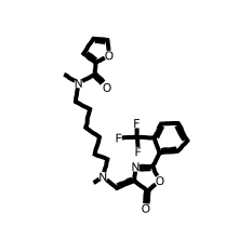 CN(/C=C1\N=C(c2ccccc2C(F)(F)F)OC1=O)CCCCCCN(C)C(=O)c1ccco1